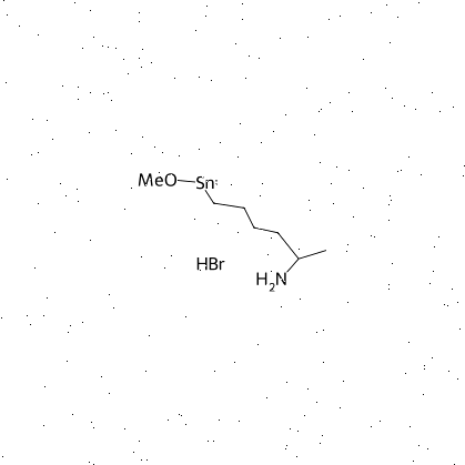 Br.C[O][Sn][CH2]CCCC(C)N